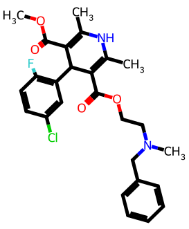 COC(=O)C1=C(C)NC(C)=C(C(=O)OCCN(C)Cc2ccccc2)C1c1cc(Cl)ccc1F